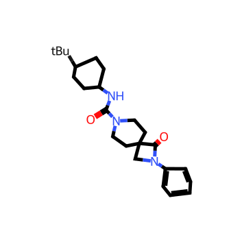 CC(C)(C)C1CCC(NC(=O)N2CCC3(CC2)CN(c2ccccc2)C3=O)CC1